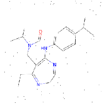 C=C(/C=C\C(=C/C)C(C)C)NC1=C(CN(C=O)C(C)C)C(CC)=NCC=N1